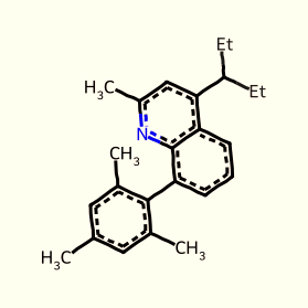 CCC(CC)c1cc(C)nc2c(-c3c(C)cc(C)cc3C)cccc12